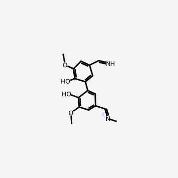 C/N=C/c1cc(OC)c(O)c(-c2cc(C=N)cc(OC)c2O)c1